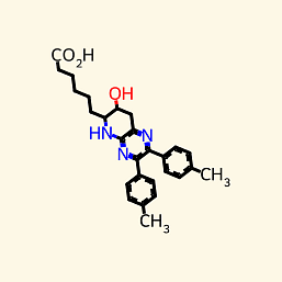 Cc1ccc(-c2nc3c(nc2-c2ccc(C)cc2)NC(CCCCCC(=O)O)C(O)C3)cc1